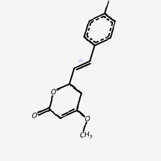 COC1=CC(=O)OC(/C=C/c2ccc(F)cc2)C1